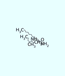 CCCC(C)C(N)CC.CCCCCCCCCCCC(N)=O